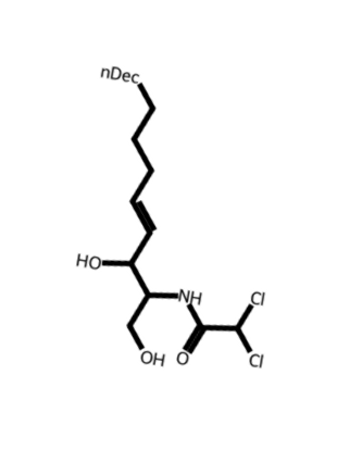 CCCCCCCCCCCCCC=CC(O)C(CO)NC(=O)C(Cl)Cl